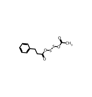 CC(=O)OSSOC(=O)CCc1ccccc1